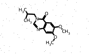 COc1cc2ncn(CC(C)C)c(=O)c2cc1OC